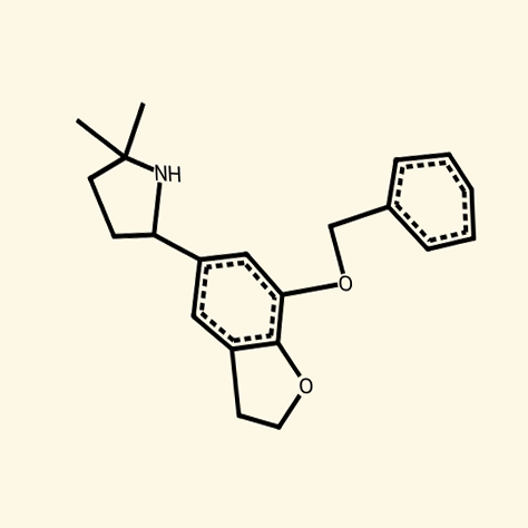 CC1(C)CCC(c2cc3c(c(OCc4ccccc4)c2)OCC3)N1